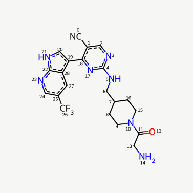 N#Cc1cnc(NCC2CCN(C(=O)CN)CC2)nc1-c1c[nH]c2ncc(C(F)(F)F)cc12